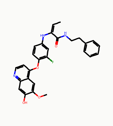 CC=C(Nc1ccc(Oc2ccnc3cc(O)c(OC)cc23)c(F)c1)C(=O)NCCc1ccccc1